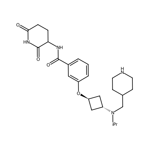 CC(C)N(CC1CCNCC1)[C@H]1C[C@H](Oc2cccc(C(=O)NC3CCC(=O)NC3=O)c2)C1